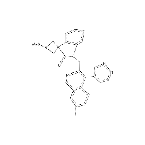 CSN1CC2(C1)C(=O)N(Cc1ncc3cc(C)ccc3c1-c1ccnnc1)c1ccccc12